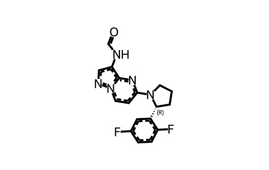 O=CNc1cnn2ccc(N3CCC[C@@H]3c3cc(F)ccc3F)nc12